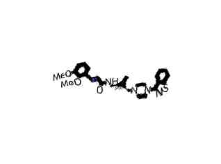 C=C1[C@H](CNC(=O)/C=C/c2cccc(OC)c2OC)[C@H]1CN1CCN(c2nsc3ccccc23)CC1